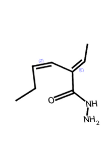 C/C=C(\C=C/CC)C(=O)NN